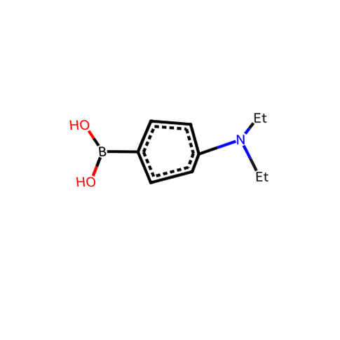 CCN(CC)c1ccc(B(O)O)cc1